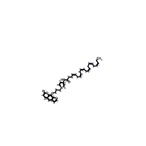 CC/C=C\C/C=C\C/C=C\C/C=C\C/C=C\C/C=C\CCC(=O)Nc1cc[n+](CCCOc2c3occc3cc3ccc(=O)oc23)cc1